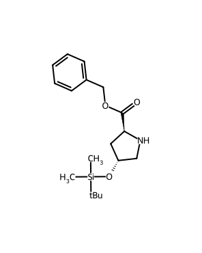 CC(C)(C)[Si](C)(C)O[C@H]1CN[C@H](C(=O)OCc2ccccc2)C1